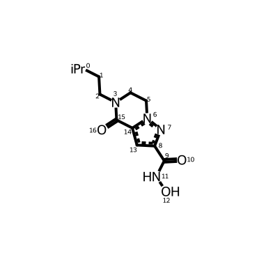 CC(C)CCN1CCn2nc(C(=O)NO)cc2C1=O